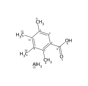 Cc1cc(C(=O)O)c(C)c(C)c1C.[AlH3]